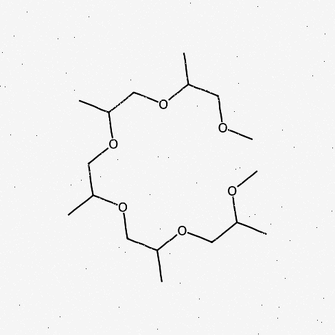 COCC(C)OCC(C)OCC(C)OCC(C)OCC(C)OC